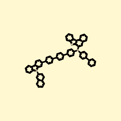 c1ccc(-c2ccc(N(c3ccc(-c4ccc(-c5ccc(-c6ccc7c8ccccc8n(-c8ccc9ccccc9c8)c7c6)cc5)cc4)cc3)c3cc4ccccc4c4c3oc3ccccc34)cc2)cc1